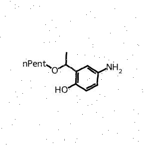 CCCCCOC(C)c1cc(N)ccc1O